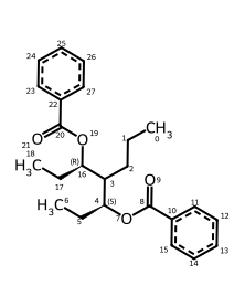 CCCC([C@H](CC)OC(=O)c1ccccc1)[C@@H](CC)OC(=O)c1ccccc1